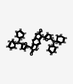 O=C1Sc2cc3c(cc2=C1c1ccc(N(c2ccccc2)c2ccccc2)o1)SC(=O)C=3c1ccc(N(c2ccccc2)c2ccccc2)o1